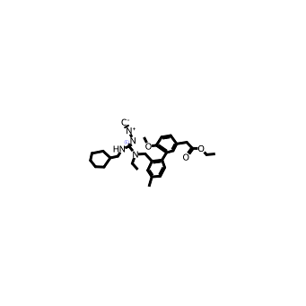 [C-]#[N+]/N=C(\NCC1CCCCC1)N(CC)Cc1cc(C)ccc1-c1cc(CC(=O)OCC)ccc1OC